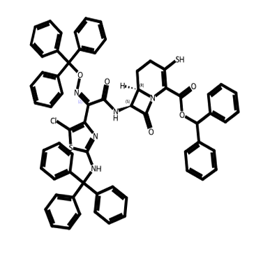 O=C(OC(c1ccccc1)c1ccccc1)C1=C(S)CC[C@@H]2[C@H](NC(=O)/C(=N\OC(c3ccccc3)(c3ccccc3)c3ccccc3)c3nc(NC(c4ccccc4)(c4ccccc4)c4ccccc4)sc3Cl)C(=O)N12